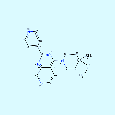 CCC1(C)CCN(c2nc(-c3ccncc3)nc3cnccc23)CC1